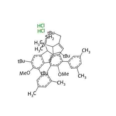 COc1c(C(C)(C)C)cc2c(c1-c1cc(C)cc(C)c1)C=C(CC(C)(C)C)[CH]2[Zr]([CH3])([CH3])(=[SiH2])[CH]1C(CC(C)(C)C)=Cc2c1cc(C(C)(C)C)c(OC)c2-c1cc(C)cc(C)c1.Cl.Cl